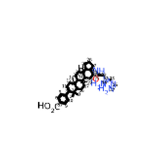 CC1(C)C(c2ccc(C(=O)O)cc2)=CC[C@@]2(C)C1CC[C@]1(C)C2CC[C@@H]2C3CCC[C@]3(NC(=O)CN(N)/C=N\N)CC[C@]21C